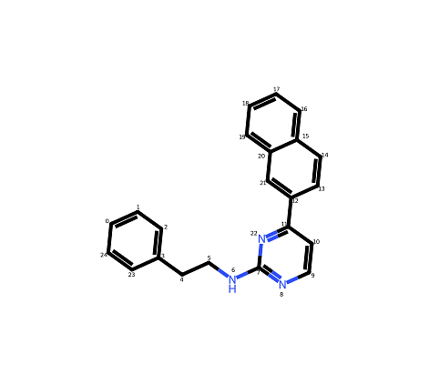 c1ccc(CCNc2nccc(-c3ccc4ccccc4c3)n2)cc1